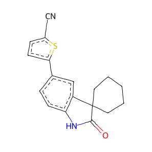 N#Cc1ccc(-c2ccc3c(c2)C2(CCCCC2)C(=O)N3)s1